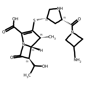 CC(O)[C@H]1C(=O)N2C(C(=O)O)=C(S[C@@H]3CN[C@H](C(=O)N4CC(N)C4)C3)[C@H](C)[C@H]12